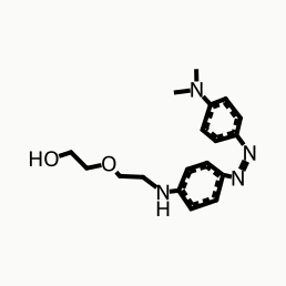 CN(C)c1ccc(/N=N\c2ccc(NCCOCCO)cc2)cc1